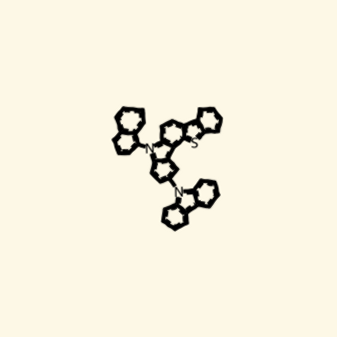 c1ccc2c(-n3c4ccc(-n5c6ccccc6c6ccccc65)cc4c4c5sc6ccccc6c5ccc43)cccc2c1